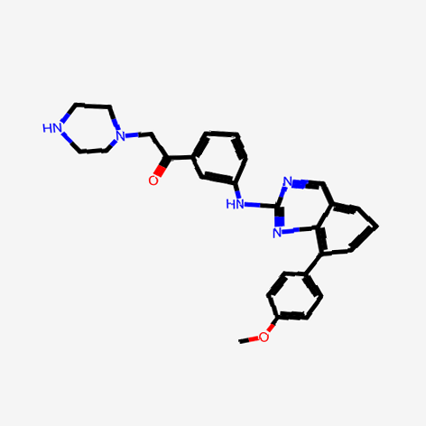 COc1ccc(-c2cccc3cnc(Nc4cccc(C(=O)CN5CCNCC5)c4)nc23)cc1